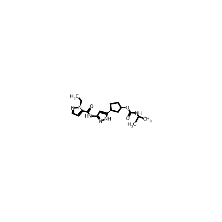 CCn1nccc1C(=O)Nc1cc([C@H]2CC[C@@H](OC(=O)NC(C)C)C2)[nH]n1